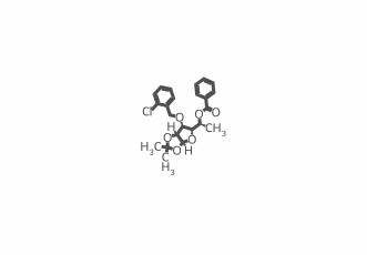 C[C@H](OC(=O)c1ccccc1)[C@H]1O[C@@H]2OC(C)(C)O[C@@H]2[C@H]1OCc1ccccc1Cl